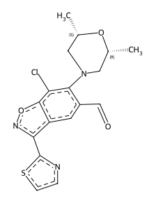 C[C@@H]1CN(c2c(C=O)cc3c(-c4nccs4)noc3c2Cl)C[C@H](C)O1